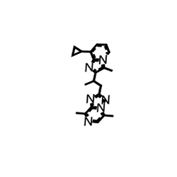 Cc1ncc(C)n2nc(CC(C)c3nc4c(C5CC5)cccn4c3C)nc12